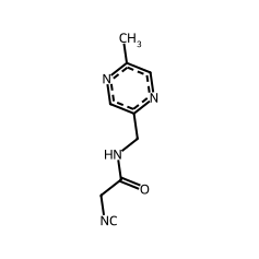 [C-]#[N+]CC(=O)NCc1cnc(C)cn1